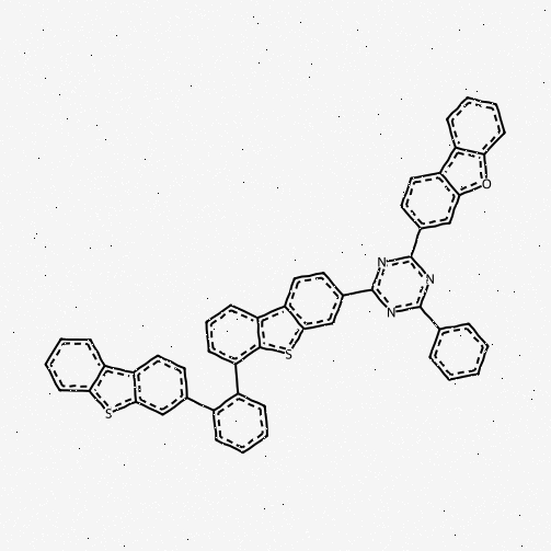 c1ccc(-c2nc(-c3ccc4c(c3)oc3ccccc34)nc(-c3ccc4c(c3)sc3c(-c5ccccc5-c5ccc6c(c5)sc5ccccc56)cccc34)n2)cc1